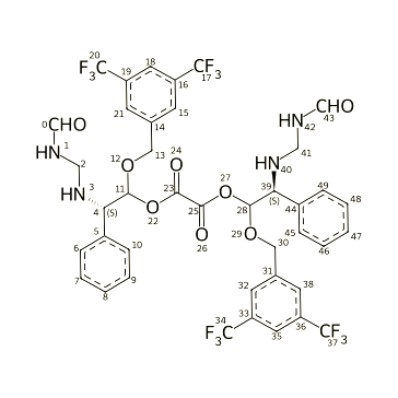 O=CNCN[C@@H](c1ccccc1)C(OCc1cc(C(F)(F)F)cc(C(F)(F)F)c1)OC(=O)C(=O)OC(OCc1cc(C(F)(F)F)cc(C(F)(F)F)c1)[C@@H](NCNC=O)c1ccccc1